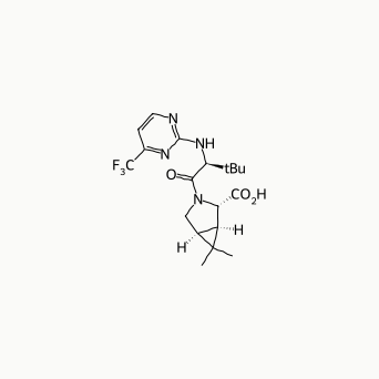 CC(C)(C)[C@H](Nc1nccc(C(F)(F)F)n1)C(=O)N1C[C@H]2[C@@H]([C@H]1C(=O)O)C2(C)C